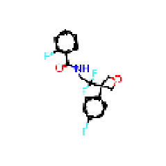 O=C(NCC(F)(F)C1(c2ccc(F)cc2)COC1)c1ccccc1F